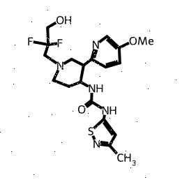 COc1ccc(C2CN(CC(F)(F)CO)CCC2NC(=O)Nc2cc(C)ns2)nc1